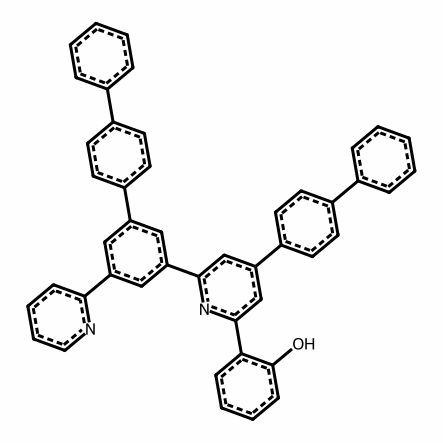 Oc1ccccc1-c1cc(-c2ccc(-c3ccccc3)cc2)cc(-c2cc(-c3ccc(-c4ccccc4)cc3)cc(-c3ccccn3)c2)n1